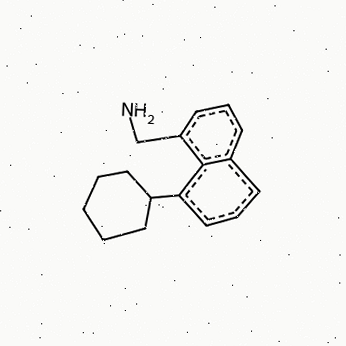 NCc1cccc2cccc(C3CCCCC3)c12